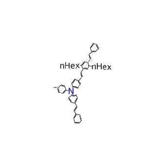 CCCCCCc1cc(/C=C/c2ccc(N(c3ccc(C)cc3)c3ccc(/C=C/c4ccccc4)cc3)cc2)c(CCCCCC)cc1/C=C/c1ccccc1